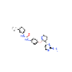 Nc1nccc(-c2cccnc2Oc2ccc(NC(=O)Nc3cccc(C(F)(F)F)c3)cc2)n1